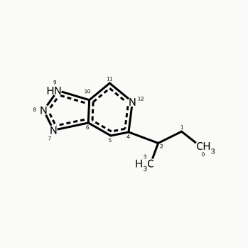 CCC(C)c1cc2nn[nH]c2cn1